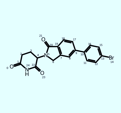 O=C1CCC(N2Cc3cc(-c4ccc(Br)cc4)ccc3C2=O)C(=O)N1